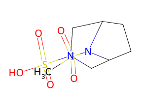 CS(=O)(=O)N1C2CCC1CN(S(=O)(=O)O)C2